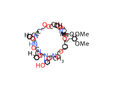 COc1cc(CC[C@H]2OC(=O)[C@@H]3CCCCN3C(=O)C(=O)C(C)(C)COC(=O)/C=C/CCN(C)C(=O)[C@@H](Cc3ccccc3)NC(=O)CN(C)C(=O)[C@@H](Cc3ccccc3)NC(=O)[C@H](Cc3ccc(O)cc3)N(C)C(=O)COc3cccc2c3)c(OC)c(OC)c1